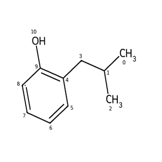 CC(C)Cc1ccc[c]c1O